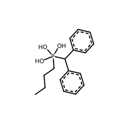 CCCCP(O)(O)(O)C(c1ccccc1)c1ccccc1